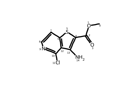 COC(=O)c1sc2ccnc(Cl)c2c1N